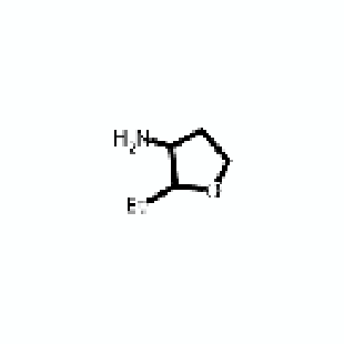 CCC1OCCC1N